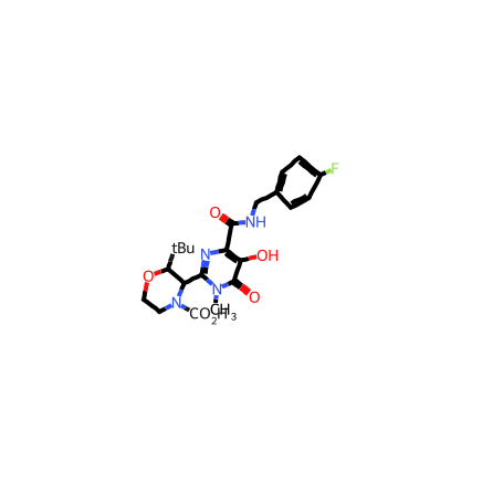 Cn1c(C2C(C(C)(C)C)OCCN2C(=O)O)nc(C(=O)NCc2ccc(F)cc2)c(O)c1=O